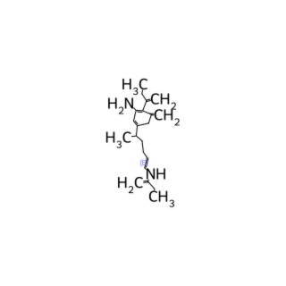 C=C(CC)N/C=C/CCC(C)C1=CC(N)=C(C(=C)CC)C(=C)C1